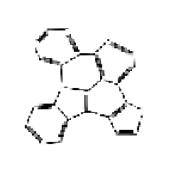 c1cc2c3ncncc3n3c4ccccc4c4c5ccsc5c(c1)c2c43